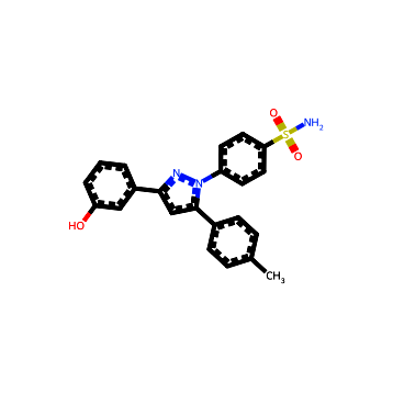 Cc1ccc(-c2cc(-c3cccc(O)c3)nn2-c2ccc(S(N)(=O)=O)cc2)cc1